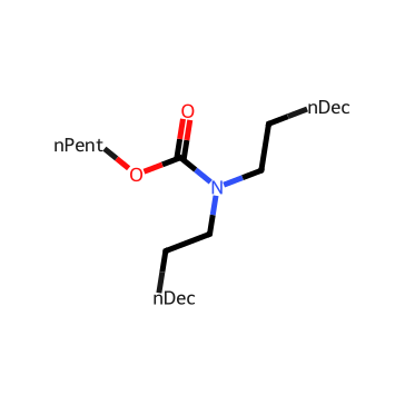 CCCCCCCCCCCCN(CCCCCCCCCCCC)C(=O)OCCCCC